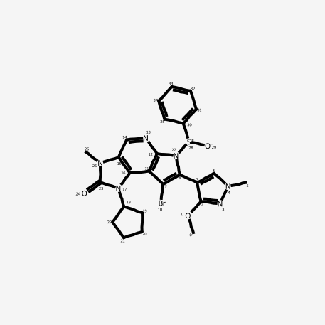 COc1nn(C)cc1-c1c(Br)c2c(ncc3c2n(C2CCCC2)c(=O)n3C)n1[S+]([O-])c1ccccc1